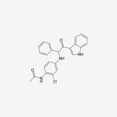 CC(=O)Nc1ccc(NC(C(=O)c2c[nH]c3ccccc23)c2ccccc2)cc1Cl